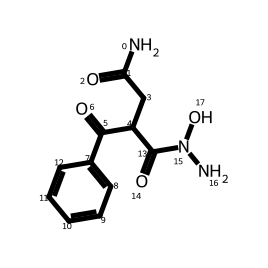 NC(=O)CC(C(=O)c1ccccc1)C(=O)N(N)O